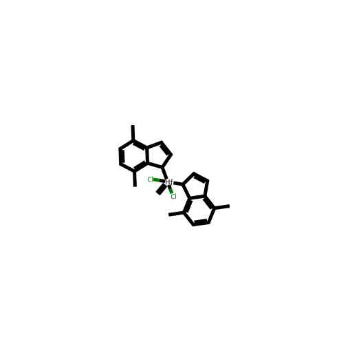 [CH2]=[Hf]([Cl])([Cl])([CH]1C=Cc2c(C)ccc(C)c21)[CH]1C=Cc2c(C)ccc(C)c21